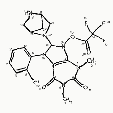 Cn1c2c(c(=O)n(C)c1=O)N(c1ccccc1Cl)C(N1CC3CC1CN3)N2OC(=O)C(F)(F)F